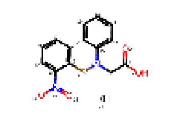 O=C(O)CN(Sc1ccccc1[N+](=O)[O-])c1ccccc1.[KH]